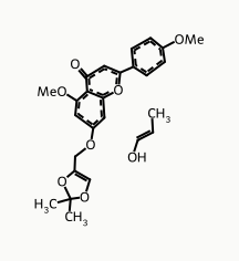 CC=CO.COc1ccc(-c2cc(=O)c3c(OC)cc(OCC4=COC(C)(C)O4)cc3o2)cc1